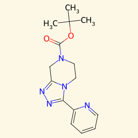 CC(C)(C)OC(=O)N1CCn2c(nnc2-c2ccccn2)C1